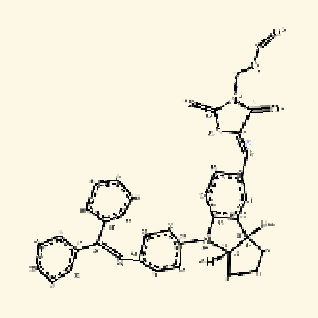 O=COCN1C(=O)/C(=C/c2ccc3c(c2)[C@@H]2CCC[C@@H]2N3c2ccc(C=C(c3ccccc3)c3ccccc3)cc2)SC1=S